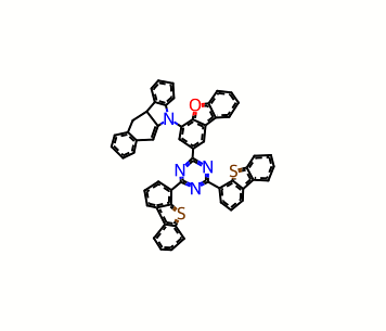 C1=C2C(Cc3ccccc31)c1ccccc1N2c1cc(-c2nc(-c3cccc4c3sc3ccccc34)nc(-c3cccc4c3sc3ccccc34)n2)cc2c1oc1ccccc12